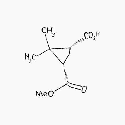 COC(=O)[C@H]1[C@@H](C(=O)O)C1(C)C